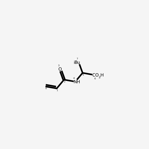 C=CC(=O)NC(C(=O)O)C(C)CC